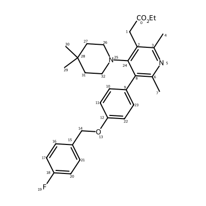 CCOC(=O)Cc1c(C)nc(C)c(-c2ccc(OCc3ccc(F)cc3)cc2)c1N1CCC(C)(C)CC1